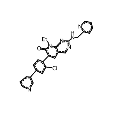 CCn1c(=O)c(-c2ccc(-c3cccnc3)cc2Cl)cc2cnc(NCc3ccccn3)nc21